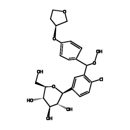 OC[C@H]1O[C@@H](c2ccc(Cl)c(C(OO)c3ccc(O[C@H]4CCOC4)cc3)c2)[C@H](O)[C@@H](O)[C@@H]1O